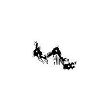 CN1CCc2ccc(NC(=O)c3cccc(CNC(=O)c4cc5cc(C#N)ccc5n4C)c3)cc2C1